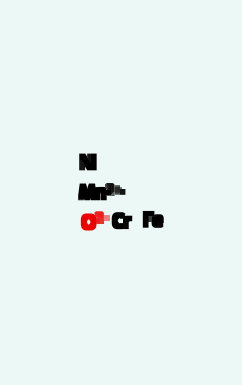 [Cr].[Fe].[Mn+2].[Ni].[O-2]